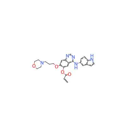 C=CC(=O)Oc1cc2c(Nc3ccc4[nH]ccc4c3)ncnc2cc1OCCCN1CCOCC1